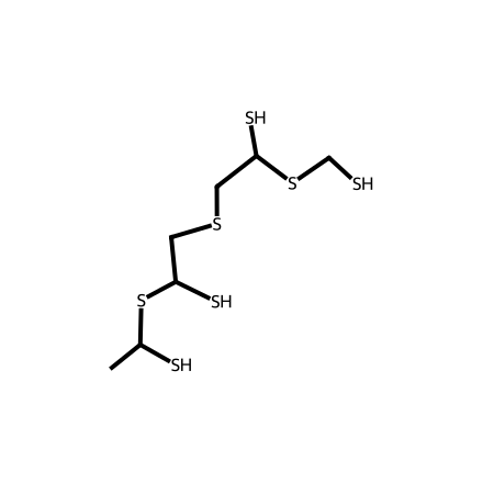 CC(S)SC(S)CSCC(S)SCS